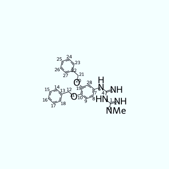 CNC(=N)NC(=N)Nc1ccc(OCc2ccccc2)c(OCc2ccccc2)c1